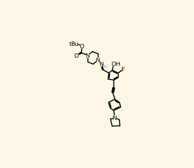 CC(C)(C)OC(=O)N1CCN(/N=C/c2cc(C#Cc3ccc(N4CCCC4)cc3)cc(F)c2O)CC1